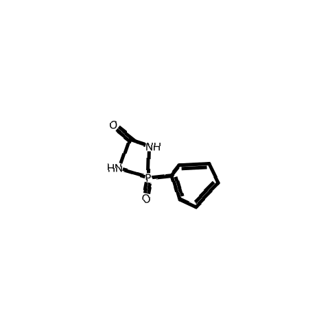 O=C1NP(=O)(c2ccccc2)N1